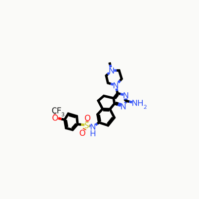 CN1CCN(c2nc(N)nc3c2CCc2cc(NS(=O)(=O)c4ccc(OC(F)(F)F)cc4)ccc2-3)CC1